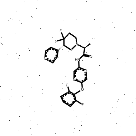 C[C@@H](C(=O)Nc1cnc(Oc2c(F)cccc2F)cn1)N1CCC(F)(F)[C@@H](c2ccncc2)C1